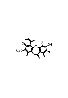 C/C=C(/C)c1c(Cl)c(OC)c(C)c2c1Oc1c(Cl)c(O)c(Cl)c(C)c1C(=O)O2